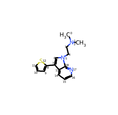 CN(C)CCn1cc(-c2cccs2)c2cccnc21